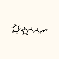 [N-]=[N+]=NCCCc1nc(-c2ccccc2)cs1